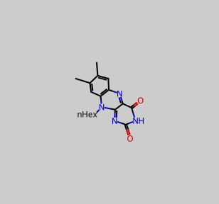 CCCCCCn1c2nc(=O)[nH]c(=O)c-2nc2cc(C)c(C)cc21